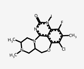 Cc1c(Cl)c2c3c(nc(=O)n(I)c3c1F)N1CC(C)N(C)CC1CO2